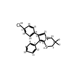 CC1(C)CSc2c(-c3ccccc3)c(-c3ccc(Cl)cc3)cn2C1